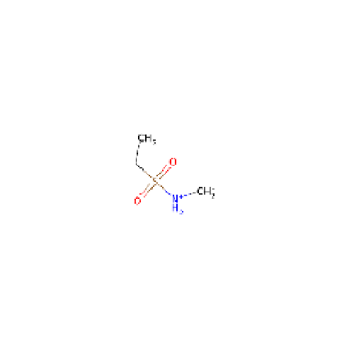 [CH2-][NH2+]S(=O)(=O)CC